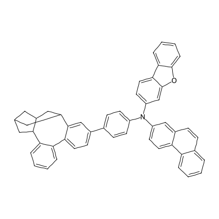 c1ccc2c(c1)-c1ccc(-c3ccc(N(c4ccc5c(ccc6ccccc65)c4)c4ccc5c(c4)oc4ccccc45)cc3)cc1C1CC3CC(C1)C2C3